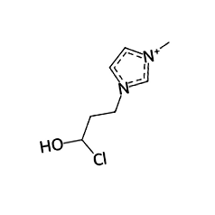 C[n+]1ccn(CCC(O)Cl)c1